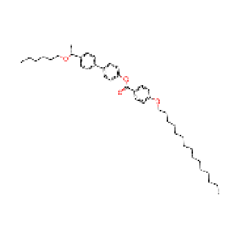 CCCCCCCCCCCCCCCOc1ccc(C(=O)Oc2ccc(-c3ccc(C(C)OCCCCCC)cc3)cc2)cc1